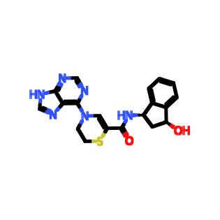 O=C(N[C@@H]1C[C@H](O)c2ccccc21)C1=CN(c2ncnc3[nH]cnc23)CCS1